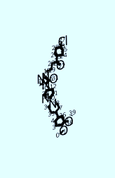 COc1ccc(C2CCN(c3ccc(-n4cnn(CCCC(=O)c5ccc(Cl)cc5)c4=O)cn3)CC2)cc1OC